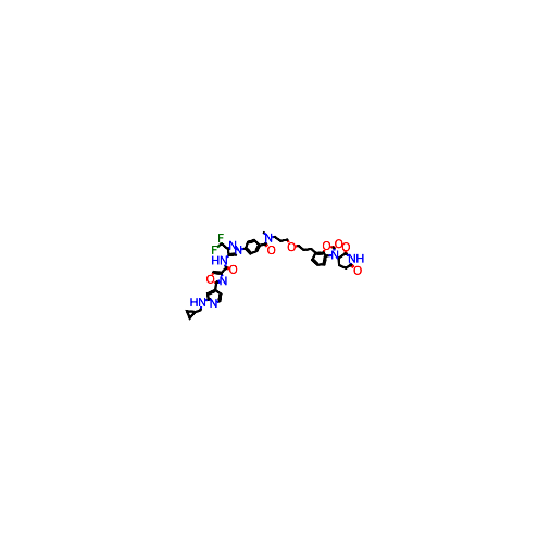 CN(CCCOCCCc1cccc2c1oc(=O)n2C1CCC(=O)NC1=O)C(=O)c1ccc(-n2cc(NC(=O)c3coc(-c4ccnc(NCC5CC5)c4)n3)c(C(F)F)n2)cc1